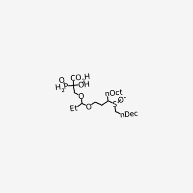 CCCCCCCCCCC[S+]([O-])C(CCCCCCCC)CCOC(CC)OCC(O)([PH2]=O)C(=O)O